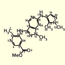 COC(=O)c1cnc(C)c(Nc2nn(C)c3nc(Nc4cnn(C)c4C)ncc23)c1